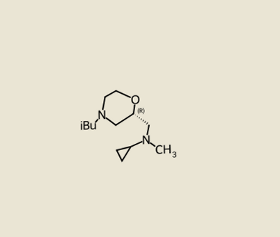 CCC(C)N1CCO[C@H](CN(C)C2CC2)C1